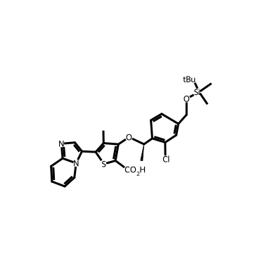 Cc1c(-c2cnc3ccccn23)sc(C(=O)O)c1O[C@H](C)c1ccc(CO[Si](C)(C)C(C)(C)C)cc1Cl